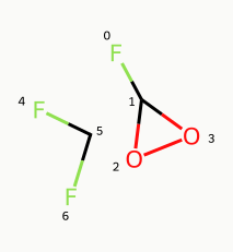 FC1OO1.FCF